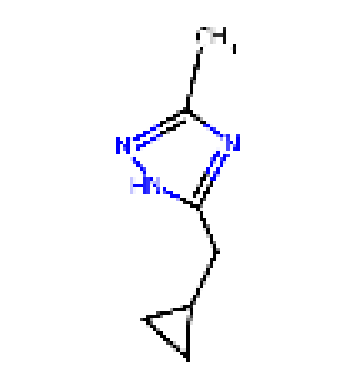 Cc1n[nH]c(CC2CC2)n1